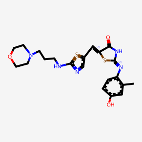 Cc1cc(O)ccc1/N=C1/NC(=O)/C(=C/c2cnc(NCCCN3CCOCC3)s2)S1